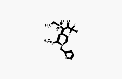 CCS(=O)(=O)/C(C(=O)C(F)(F)F)=C1/C=CN(Cc2cccs2)C(SC)=C1